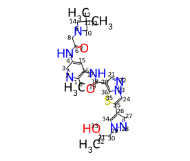 Cc1ncc(NC(=O)CN2CC(C)(C)C2)cc1NC(=O)c1cnn2cc(-c3cnn(CC(C)O)c3)sc12